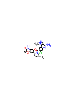 C[C@H]1CCC(c2ccc3c(c2)OC2(CC2)C(=O)N3)N(C(=O)c2cc3c(cc2Cl)nc(N)c2cnn(C)c23)C1